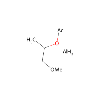 COCC(C)OC(C)=O.[AlH3]